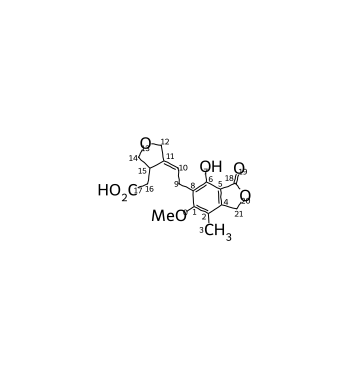 COc1c(C)c2c(c(O)c1C/C=C1/COCC1CC(=O)O)C(=O)OC2